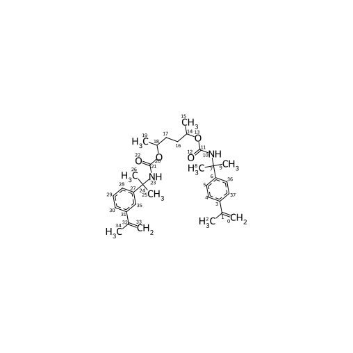 C=C(C)c1ccc(C(C)(C)NC(=O)OC(C)CCC(C)OC(=O)NC(C)(C)c2cccc(C(=C)C)c2)cc1